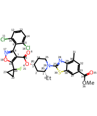 CC[C@@H]1C[C@H](OC(=O)c2c(-c3c(Cl)cccc3Cl)noc2C2(F)CC2)CCN1c1nc2c(C)cc(C(=O)OC)cc2s1